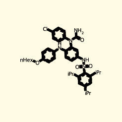 CCCCCCOc1ccc(Nc2ccc(NS(=O)(=O)c3c(C(C)C)cc(C(C)C)cc3C(C)C)cc2N(C(N)=O)c2ccc(Cl)cc2)cc1